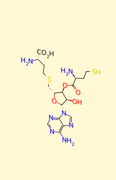 Nc1ncnc2c1ncn2[C@@H]1O[C@H](CSCC[C@H](N)C(=O)O)[C@@H](OC(=O)[C@@H](N)CCS)[C@H]1O